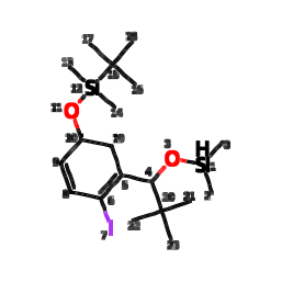 C[SiH](C)OC(C1=C(I)C=C[C](O[Si](C)(C)C(C)(C)C)C1)C(C)(C)C